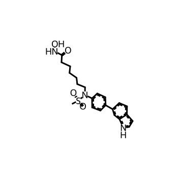 CS(=O)(=O)N(CCCCCCC(=O)NO)c1ccc(-c2ccc3cc[nH]c3c2)cc1